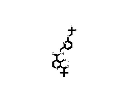 CC(C)(C)C(=O)c1nccc(C(=O)NCc2cccc(OCC(F)(F)F)n2)c1N